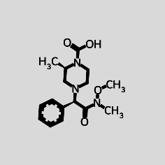 CON(C)C(=O)[C@@H](c1ccccc1)N1CCN(C(=O)O)[C@H](C)C1